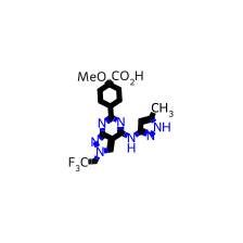 COC1(C(=O)O)CCC(c2nc(Nc3cc(C)[nH]n3)c3cn(CC(F)(F)F)nc3n2)CC1